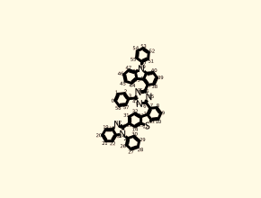 c1ccc(-c2nc(-c3cccc4sc5cc(-c6nc7ccccc7n6-c6ccccc6)ccc5c34)nc(-c3cccc4c3c3ccccc3n4-c3ccccc3)n2)cc1